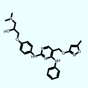 Cc1cc(OCc2cnc(Nc3ccc(OCC(O)CN(C)C)cc3)nc2Nc2ccccc2)no1